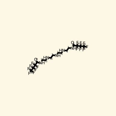 O=C(NCCNCCNCCNCCNC(=O)C(F)(F)C(F)(F)C(F)(F)F)C(F)(F)C(F)(F)C(F)(F)F